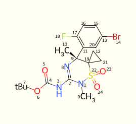 CN1C(NC(=O)OC(C)(C)C)=N[C@](C)(c2cc(Br)ccc2F)C2(CC2)S1(=O)=O